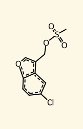 CS(=O)(=O)OCc1coc2ccc(Cl)cc12